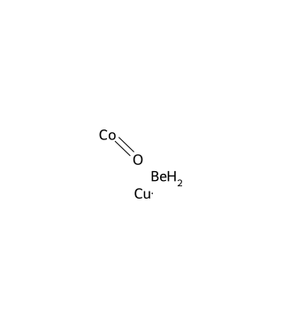 [BeH2].[Cu].[O]=[Co]